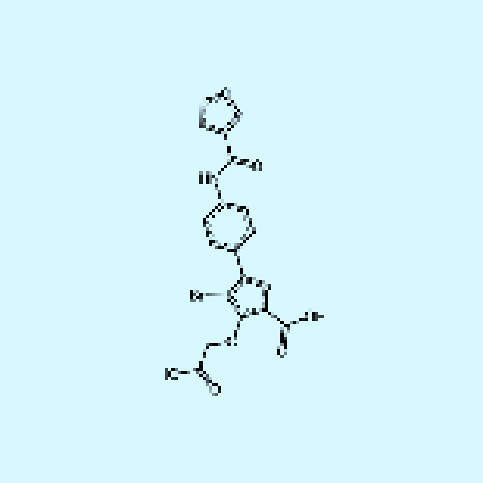 O=C(O)COc1c(C(=O)O)sc(-c2ccc(NC(=O)c3ccoc3)cc2)c1Br